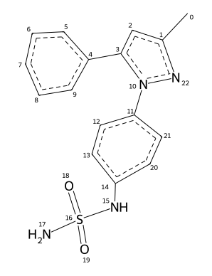 Cc1cc(-c2ccccc2)n(-c2ccc(NS(N)(=O)=O)cc2)n1